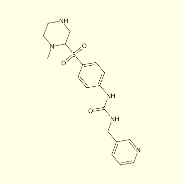 CN1CCNCC1S(=O)(=O)c1ccc(NC(=O)NCc2cccnc2)cc1